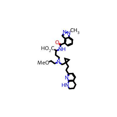 COCCN(CCC(NC(=O)c1cccc2c1cnn2C)C(=O)O)CC1(CCc2ccc3c(n2)NCCC3)CC1